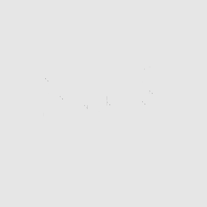 O=C(NCc1cc(C(F)(F)F)nn1-c1cccc(Cl)c1)N1CCN(c2ncccc2C(F)(F)F)CC1